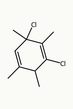 CC1=CC(C)(Cl)C(C)=C(Cl)C1C